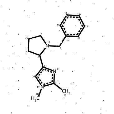 Cc1nc(C2CCCN2Cc2ccccc2)cn1C